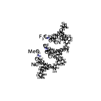 COC/C=C/C(=O)N1CCN(c2nc(OC[C@@H]3CC(c4cc(N5CCc6c(nc(OC[C@@H]7CC(c8cc(N9CCc%10c(nc(OC[C@@H]%11CCCN%11C)nc%10N%10CCN(C(=O)/C=C/C(F)(F)F)[C@@H](CC#N)C%10)C9)c9c(Cl)cccc9c8)CN7C)nc6N6CCN(C(=O)/C=C/C(F)(F)F)[C@@H](CC#N)C6)C5)c5c(C)cccc5c4)CN3C)nc3c2CCN(c2cccc(C)c2C)C3)C[C@@H]1CC#N